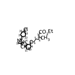 CCOC(=O)CC(C)CCCOc1ccccc1Cn1c(C)cnc1-c1ccc(Cl)cc1